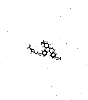 Oc1ccc2c(c1)CCC(C1CCC(F)(F)CC1)[C@H]2c1ccc(OCCN2CC(CF)C2)cc1